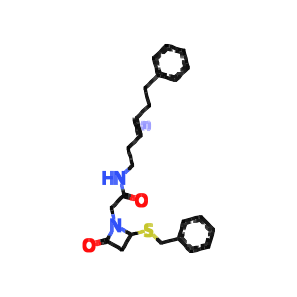 O=C(CN1C(=O)CC1SCc1ccccc1)NCC/C=C/CCc1ccccc1